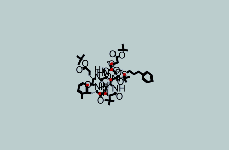 COC(OC)[C@H](CSCCCc1ccccc1)NC(=O)[C@H](CC(C)C)NC(=O)[C@@H](NC(=O)[C@H](Cc1ccccc1C)NC(=O)[C@H](CCC(=O)OC(C)(C)C)NC(=O)[C@H](CC(=O)OC(C)(C)C)NC(=O)CCC(=O)OC(C)(C)C)C(C)(C)C